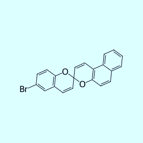 Brc1ccc2c(c1)C=CC1(C=Cc3c(ccc4ccccc34)O1)O2